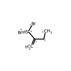 C=C(CC)[SiH](Br)Br